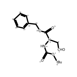 CC(C)(C)OC(=O)NN(CC=O)C(=O)OCc1ccccc1